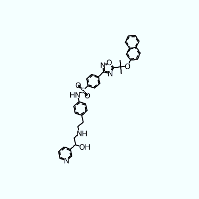 CC(C)(Oc1ccc2ccccc2c1)c1nc(-c2ccc(S(=O)(=O)Nc3ccc(CCNCC(O)c4cccnc4)cc3)cc2)no1